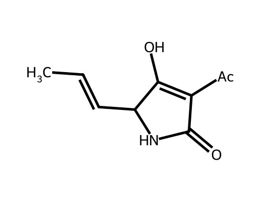 CC=CC1NC(=O)C(C(C)=O)=C1O